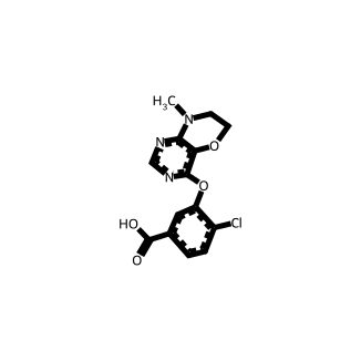 CN1CCOc2c(Oc3cc(C(=O)O)ccc3Cl)ncnc21